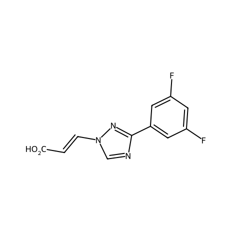 O=C(O)/C=C/n1cnc(-c2cc(F)cc(F)c2)n1